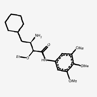 CCOC(C(=O)Nc1cc(OC)c(OC)c(OC)c1)[C@H](N)CC1CCCCC1